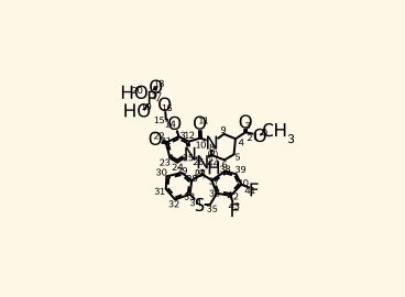 COC(=O)C1CC[C@@H]2N(C1)C(=O)c1c(OCOP(=O)(O)O)c(=O)ccn1N2[C@@H]1c2ccccc2SCc2c1ccc(F)c2F